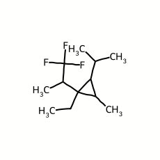 CCC1(C(C)C(F)(F)F)C(C)C1C(C)C